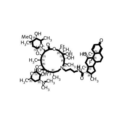 CC[C@H]1OC(=O)[C@H](C)[C@@H](O[C@@H]2C[C@](C)(OC)[C@H](O)C(C)O2)[C@H](C)[C@@H](O[C@@H]2O[C@H](C)C[C@@H](N(C)C)[C@H]2O)[C@](C)(O)C[C@@H](C)CN(CCCNC(=O)[C@H]2[C@H](C)CC3C4CCC5=CC(=O)C=C[C@]5(C)[C@@]4(F)[C@@H](O)C[C@@]32C)[C@H](C)[C@@H](O)[C@]1(C)O